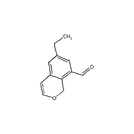 CCc1cc(C=O)c2c(c1)C=COC2